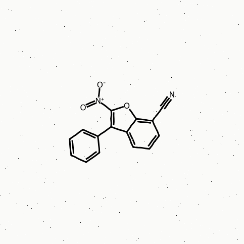 N#Cc1cccc2c(-c3ccccc3)c([N+](=O)[O-])oc12